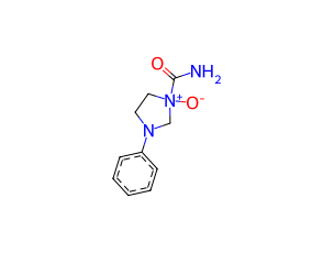 NC(=O)[N+]1([O-])CCN(c2ccccc2)C1